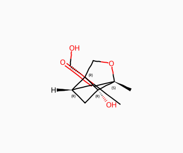 C[C@]12CC(=O)[C@@H]3C[C@@]1(O)[C@]3(CO)CO2